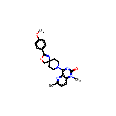 Cn1c(=O)nc(N2CCC3(CC2)COC(c2ccc(OC(F)(F)F)cc2)=N3)c2nc(C#N)ccc21